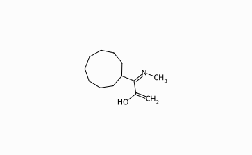 C=C(O)/C(=N\C)C1CCCCCCCC1